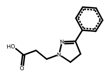 O=C(O)CCN1CCC(c2ccccc2)=N1